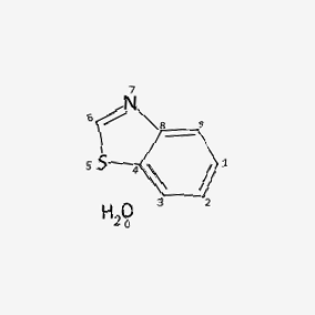 O.c1ccc2scnc2c1